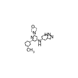 Cc1cccc(-c2cc(Nc3ccc4[nH]ncc4c3)cc(N3CCOCC3)n2)c1